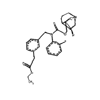 CCOC(=O)Cc1cccc(CN(C(=O)O[C@H]2CN3CCC2CC3)c2ccccc2F)c1